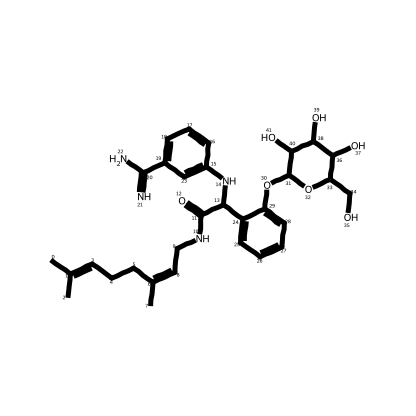 CC(C)=CCCC(C)=CCNC(=O)C(Nc1cccc(C(=N)N)c1)c1ccccc1OC1OC(CO)C(O)C(O)C1O